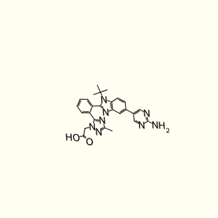 Cc1nc(-c2ccccc2-c2nc3cc(-c4cnc(N)nc4)ccc3n2C(C)(C)C)n(CC(=O)O)n1